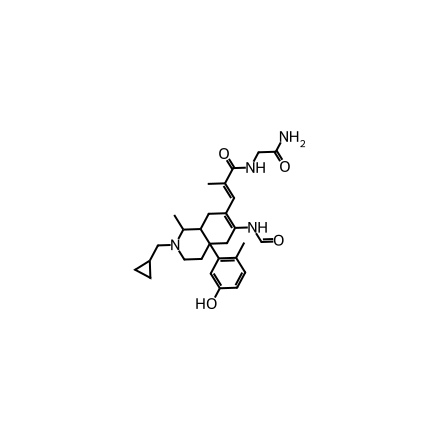 C/C(=C\C1=C(NC=O)CC2(c3cc(O)ccc3C)CCN(CC3CC3)C(C)C2C1)C(=O)NCC(N)=O